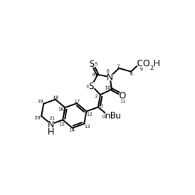 CCCCC(=C1SC(=S)N(CCC(=O)O)C1=O)c1ccc2c(c1)CCCN2